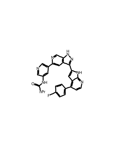 CCCC(=O)Nc1cncc(-c2cc3c(-c4cc5c(-c6ccc(F)cc6)ccnc5[nH]4)n[nH]c3cn2)c1